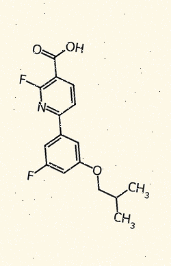 CC(C)COc1cc(F)cc(-c2ccc(C(=O)O)c(F)n2)c1